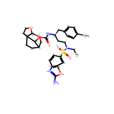 COc1ccc(C[C@@H](CCN(CC(C)C)S(=O)(=O)c2ccc3nc(N)oc3c2)NC(=O)OC2C3CCC4C(OC3)OCC42)cc1